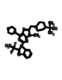 Cn1c(CN2CCC(C(C)(C)O)CC2)nc2c(N3CCOCC3)nc(-n3c(C(C)(F)F)nc4ccccc43)nc21